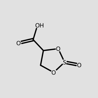 O=C(O)C1COS(=O)O1